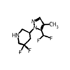 Cc1cnn(C2CNCC(F)(F)C2)c1C(F)F